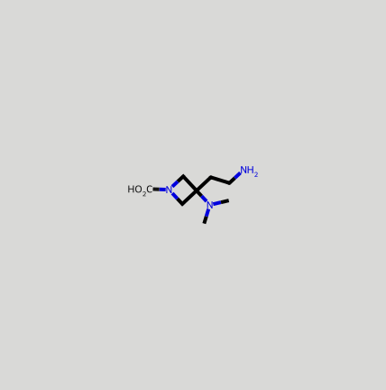 CN(C)C1(CCN)CN(C(=O)O)C1